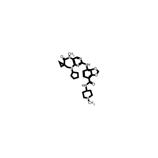 CN1CCC(NC(=O)c2ccc(Nc3ncc4c(n3)N(C3CCCC3)CC3(CC3)C(=O)N4C)c3c2OCO3)CC1